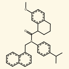 COc1ccc2c(c1)C(C(=O)N(Cc1cccc3ccccc13)c1ccc(C(C)C)cc1)CCC2